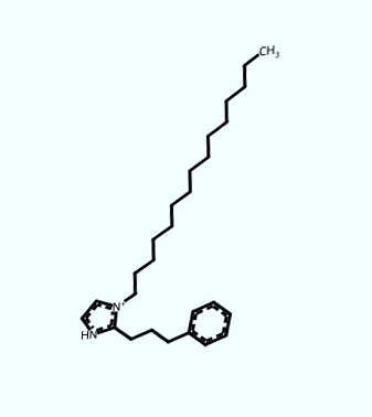 CCCCCCCCCCCCCCC[n+]1cc[nH]c1CCCc1ccccc1